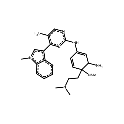 CNC1(CCN(C)C)C=CC(Nc2ncc(C(F)(F)F)c(-c3cn(C)c4ccccc34)n2)=CC1N